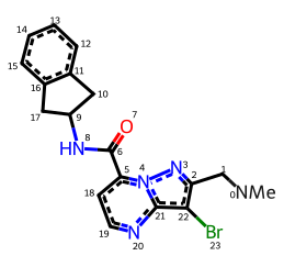 CNCc1nn2c(C(=O)NC3Cc4ccccc4C3)ccnc2c1Br